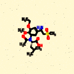 CCOc1cc(C(N)CS(C)(=O)=O)cc(N(C(C)=O)[C@@H](CC(C)C)C(=O)O)c1OC